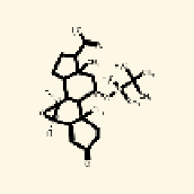 CC(=O)C1CCC2C3C([C@H](O[Si](C)(C)C(C)(C)C)CC12C)C1(C)CCC(=O)C=C1[C@H]1O[C@@H]31